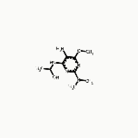 COc1nc(N(C)C)nc(NC(C)O)c1N